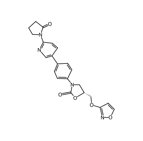 O=C1O[C@@H](COc2ccon2)CN1c1ccc(-c2ccc(N3CCCC3=O)nc2)cc1